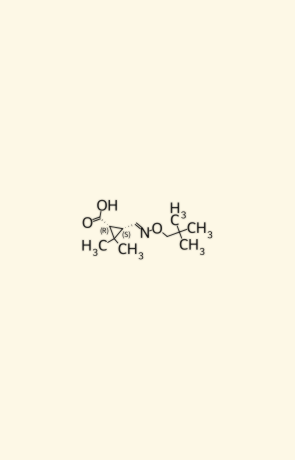 CC(C)(C)CON=C[C@H]1[C@@H](C(=O)O)C1(C)C